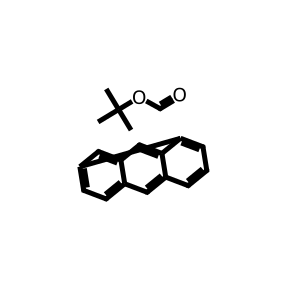 CC(C)(C)OC=O.c1cc2cc3ccc4cc3cc2c4c1